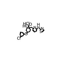 Cl.O=C(O)C1(Cc2cccc(Nc3nccs3)n2)CCC(Oc2cccc(Cl)c2)CC1